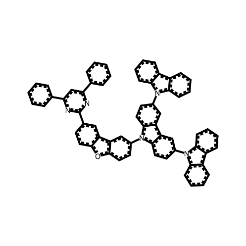 c1ccc(-c2cc(-c3ccccc3)nc(-c3ccc4oc5ccc(-n6c7ccc(-n8c9ccccc9c9ccccc98)cc7c7cc(-n8c9ccccc9c9ccccc98)ccc76)cc5c4c3)n2)cc1